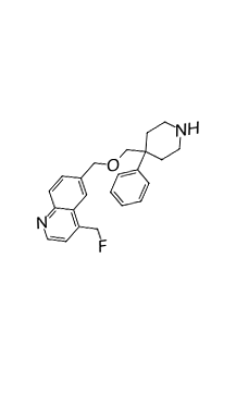 FCc1ccnc2ccc(COCC3(c4ccccc4)CCNCC3)cc12